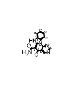 NC(=O)c1c(=O)c2cncnc2n2c1[nH]c1ccccc12